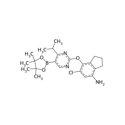 CC(C)c1nc(Oc2c(Cl)cc(N)c3c2CCC3)ncc1B1OC(C)(C)C(C)(C)O1